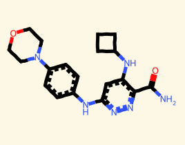 NC(=O)c1nnc(Nc2ccc(N3CCOCC3)cc2)cc1NC1CCC1